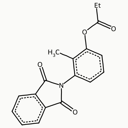 CCC(=O)Oc1cccc(N2C(=O)c3ccccc3C2=O)c1C